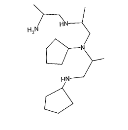 CC(N)CNC(C)CN(C(C)CNC1CCCC1)C1CCCC1